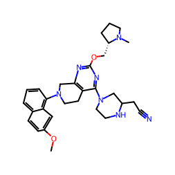 COc1ccc2cccc(N3CCc4c(nc(OC[C@@H]5CCCN5C)nc4N4CCNC(CC#N)C4)C3)c2c1